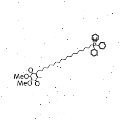 COC1=C(OC)C(=O)C(CCCCCCCCCCCCCCCCCCC[PH](c2ccccc2)(c2ccccc2)c2ccccc2)=C(C)C1=O